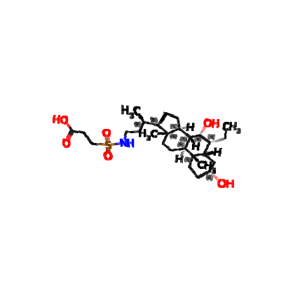 CC[C@H]1[C@@H](O)[C@@H]2[C@H](CC[C@]3(C)[C@@H]([C@H](C)CCNS(=O)(=O)CCC(=O)O)CC[C@@H]23)[C@@]2(C)CC[C@@H](O)C[C@@H]12